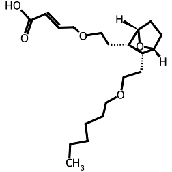 CCCCCCOCC[C@@H]1[C@H](CCOC/C=C/C(=O)O)[C@@H]2CC[C@H]1O2